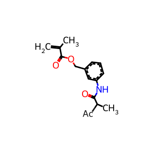 C=C(C)C(=O)OCc1cccc(NC(=O)C(C)C(C)=O)c1